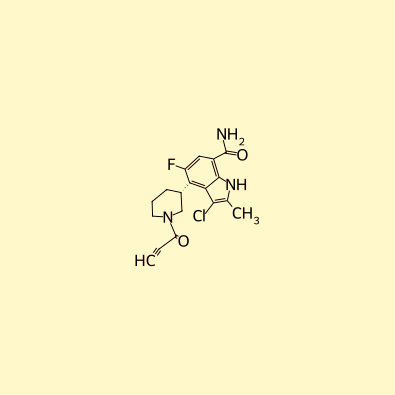 C#CC(=O)N1CCC[C@H](c2c(F)cc(C(N)=O)c3[nH]c(C)c(Cl)c23)C1